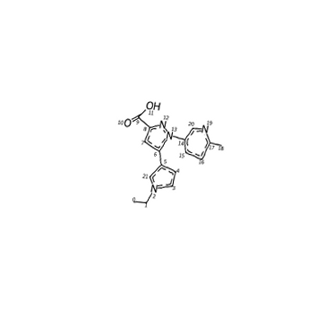 CCn1ccc(-c2cc(C(=O)O)nn2-c2ccc(C)nc2)c1